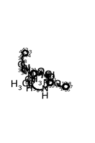 CC1(C)C[C@@H]2CCCNc3cc(OCc4ccccc4)cc(n3)S(=O)(=O)NC(=O)c3ccc(-n4ccc(OCCC5CCCC5)n4)nc3N1C2